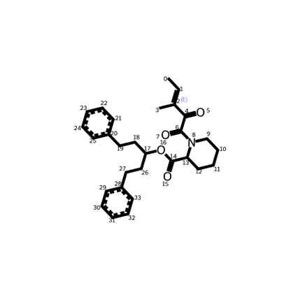 C/C=C(\C)C(=O)C(=O)N1CCCCC1C(=O)OC(CCc1ccccc1)CCc1ccccc1